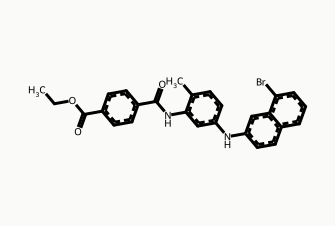 CCOC(=O)c1ccc(C(=O)Nc2cc(Nc3ccc4cccc(Br)c4c3)ccc2C)cc1